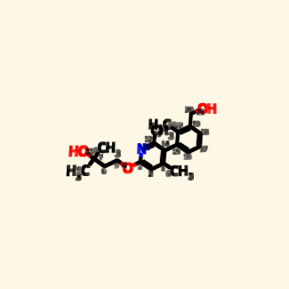 Cc1cc(OCCC(C)(C)O)nc(C)c1-c1cccc(CO)c1C